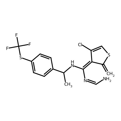 C=c1scc(Cl)/c1=C(/N=C\N)NC(C)c1ccc(SC(F)(F)F)cc1